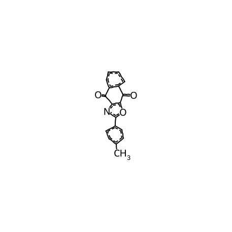 Cc1ccc(-c2nc3c(o2)C(=O)c2ccccc2C3=O)cc1